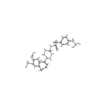 COc1cc2ncnc(C3CCN(CC(=O)Nc4ccc(OC(C)C)cc4)CC3)c2cc1OC